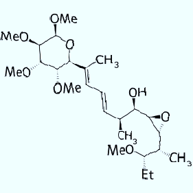 CC[C@H](OC)[C@@H](C)[C@H]1O[C@@H]1[C@H](O)[C@@H](C)/C=C/C=C(\C)[C@@H]1O[C@H](OC)[C@H](OC)[C@@H](OC)[C@H]1OC